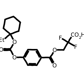 CCC1(OC(=O)Oc2ccc(C(=O)OCC(F)(F)C(=O)O)cc2)CCCCC1